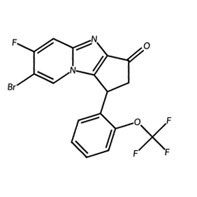 O=C1CC(c2ccccc2OC(F)(F)F)c2c1nc1cc(F)c(Br)cn21